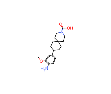 COc1cc(C2CCC3(CC2)CCN(C(=O)O)CC3)ccc1N